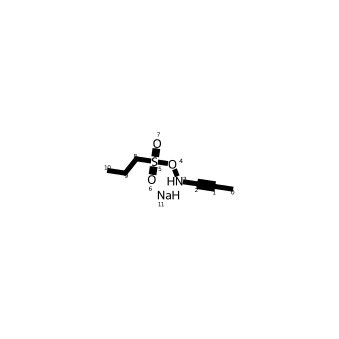 CC#CNOS(=O)(=O)CCC.[NaH]